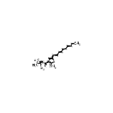 CCCCCCCCCCc1cc(C(=O)OC(C)(C)C)c(N)s1